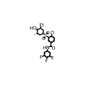 CCC1C[C@@H](S(=O)(=O)c2cc(C(=O)Nc3cc(F)c(F)c(F)c3)ccc2Cl)C[C@H](C)[C@H]1O